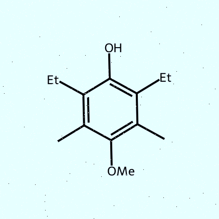 CCc1c(C)c(OC)c(C)c(CC)c1O